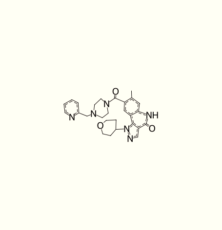 Cc1cc2[nH]c(=O)c3cnn(C4CCOCC4)c3c2cc1C(=O)N1CCN(Cc2ccccn2)CC1